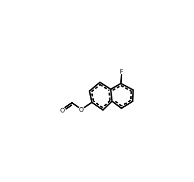 O=COc1ccc2c(F)cccc2c1